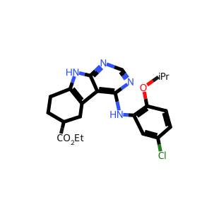 CCOC(=O)C1CCc2[nH]c3ncnc(Nc4cc(Cl)ccc4OC(C)C)c3c2C1